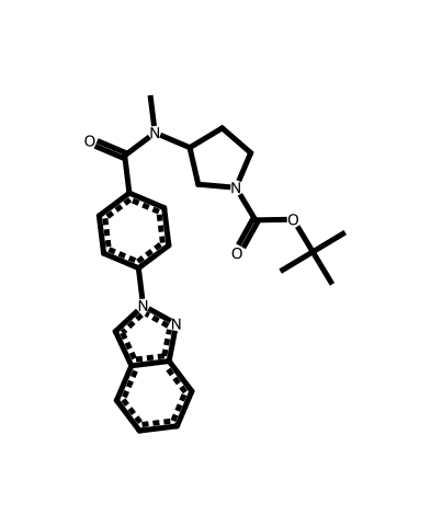 CN(C(=O)c1ccc(-n2cc3ccccc3n2)cc1)C1CCN(C(=O)OC(C)(C)C)C1